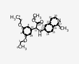 CCOc1cc(OCC)cc(C(Nc2ccc3c(C)nccc3c2)C(=O)OC)c1